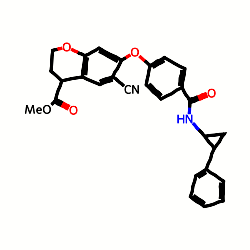 COC(=O)C1CCOc2cc(Oc3ccc(C(=O)NC4CC4c4ccccc4)cc3)c(C#N)cc21